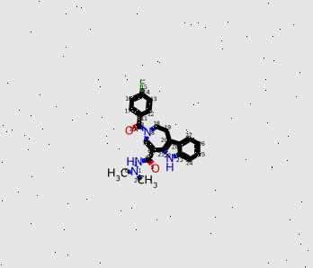 CN(C)NC(=O)C1=CN(C(=O)c2ccc(F)cc2)CCc2c1[nH]c1ccccc21